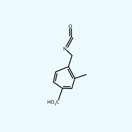 Cc1cc(C(=O)O)ccc1CN=C=O